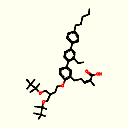 CCCCCc1ccc(-c2ccc(-c3ccc(OCCC(CO[Si](C)(C)C(C)(C)C)CO[Si](C)(C)C(C)(C)C)c(CCC=C(C)C(=O)O)c3)c(CC)c2)cc1